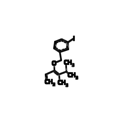 C=CC(OCc1cccc(I)c1)=C(C)C(C)C